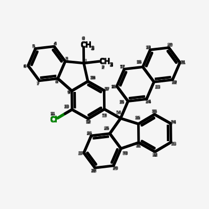 CC1(C)c2ccccc2-c2c(Cl)cc(C3(c4ccc5ccccc5c4)c4ccccc4-c4ccccc43)cc21